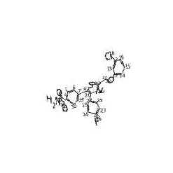 NS(=O)(=O)c1ccc(-c2sc(COc3cccc(Cl)c3)nc2-c2ccc(F)cc2)cc1